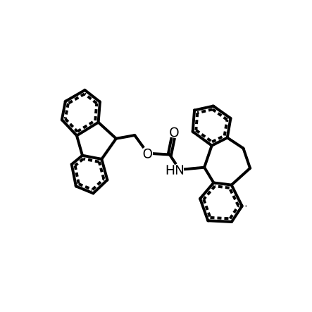 O=C(NC1c2ccc[c]c2CCc2ccccc21)OCC1c2ccccc2-c2ccccc21